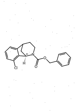 O=C(OCc1ccccc1)N1CCC2C[C@@H]1c1c(Cl)cccc12